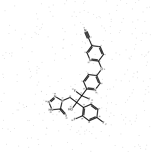 N#Cc1ccc(Oc2ccc(C(F)(F)C(O)(Cn3nn[nH]c3=S)c3ccc(F)cc3F)nc2)nc1